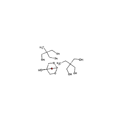 CC(CO)(CO)CO.CCC(CO)(CO)CO.OC12COP(OC1)OC2